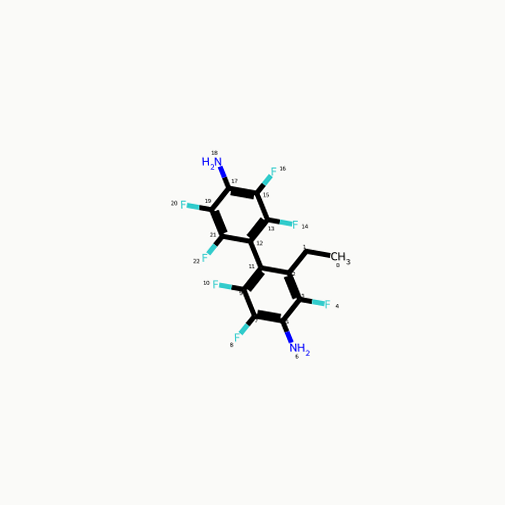 CCc1c(F)c(N)c(F)c(F)c1-c1c(F)c(F)c(N)c(F)c1F